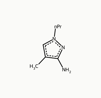 CCCn1cc(C)c(N)n1